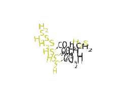 C=C.O=C(O)S.O=C(O)S.O=C(O)S.S.S.S.S